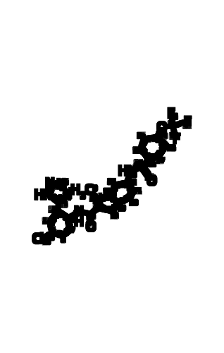 Cn1c(C(=O)Nc2ccc(Cl)cc2-c2nnn[nH]2)cc2ccc(NC(=O)c3ccc(OC(F)(F)F)cc3)cc21